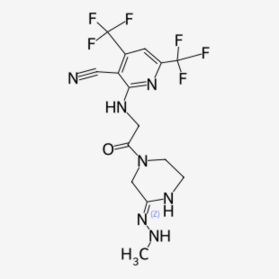 CN/N=C1/CN(C(=O)CNc2nc(C(F)(F)F)cc(C(F)(F)F)c2C#N)CCN1